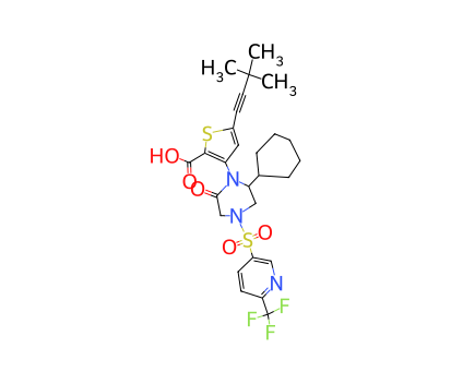 CC(C)(C)C#Cc1cc(N2C(=O)CN(S(=O)(=O)c3ccc(C(F)(F)F)nc3)CC2C2CCCCC2)c(C(=O)O)s1